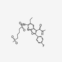 CCc1cc2c(C(=O)NC)c(-c3ccc(F)cc3)oc2nc1NS(=O)(=O)CCCCS(C)(=O)=O